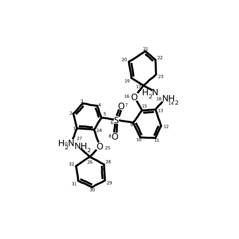 Nc1cccc(S(=O)(=O)c2cccc(N)c2OC2(N)C=CC=CC2)c1OC1(N)C=CC=CC1